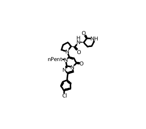 CCCCCn1c(N2CCC[C@H]2C(=O)N[C@@H]2CCCNC2=O)cc(=O)n2cc(-c3ccc(Cl)cc3)nc12